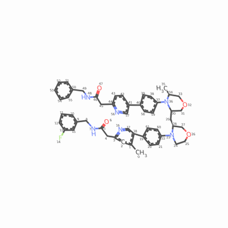 Cc1cc(CC(=O)NCc2cccc(F)c2)ncc1-c1ccc(N2CCOC[C@@H]2CC2COC[C@H](C)N2c2ccc(-c3ccc(CC(=O)NCc4ccccc4)nc3)cc2)cc1